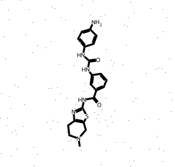 CN1CCc2nc(NC(=O)c3cccc(NC(=O)Nc4ccc(N)cc4)c3)sc2C1